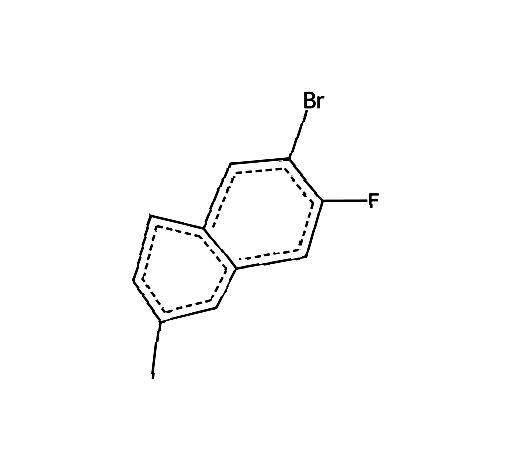 Cc1ccc2cc(Br)c(F)cc2c1